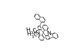 C[Si]1(C)c2ccccc2C2(c3ccccc3-n3c4ccccc4c4cccc2c43)c2cc(-c3cccc4ccccc34)ccc21